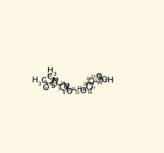 CC(=O)c1sc(-c2ccc(OCCCOc3ccc4c(c3)CC[C@H]4CC(=O)O)nc2)nc1C